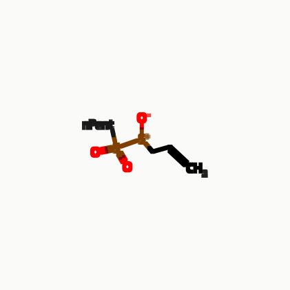 C=CC[S+]([O-])S(=O)(=O)CCCCC